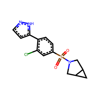 O=S(=O)(c1ccc(-c2ccn[nH]2)c(Cl)c1)N1CC2CC2C1